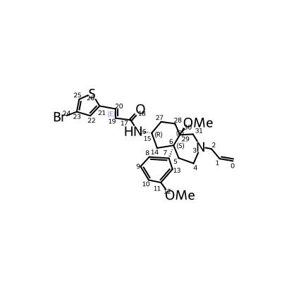 C=CCN1CC[C@@]2(c3cccc(OC)c3)C[C@H](NC(=O)/C=C/c3cc(Br)cs3)CC[C@]2(OC)C1